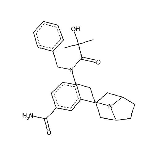 CC(C)(O)C(=O)N(CCCN1C2CCC1CC(c1cccc(C(N)=O)c1)C2)Cc1ccccc1